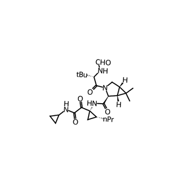 CCC[C@@H]1C[C@@]1(NC(=O)[C@@H]1[C@@H]2[C@H](CN1C(=O)[C@@H](NC=O)C(C)(C)C)C2(C)C)C(=O)C(=O)NC1CC1